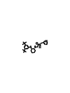 CC(C)(C)c1cc(S[C@@H]2CCCC[C@H]2SCC(=O)NCc2cccnc2)cc(C(C)(C)C)c1